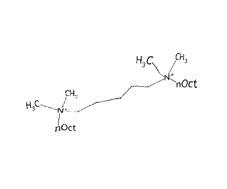 CCCCCCCC[N+](C)(C)CCCCC[N+](C)(C)CCCCCCCC